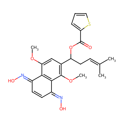 COc1cc(C(CC=C(C)C)OC(=O)c2cccs2)c(OC)c2c1/C(=N/O)C=C/C2=N\O